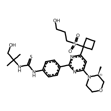 C[C@H]1COCCN1c1cc(C2(S(=O)(=O)CCCO)CCC2)nc(-c2ccc(NC(=S)NC(C)(C)CO)cc2)n1